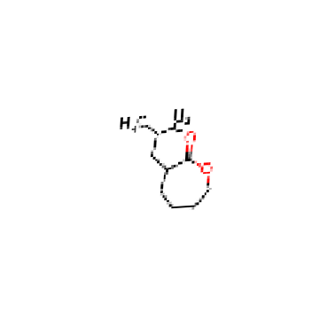 CC(C)CC1CCCCOC1=O